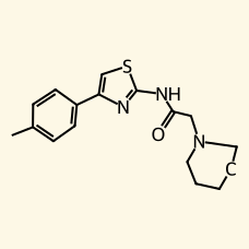 Cc1ccc(-c2csc(NC(=O)CN3CCCCC3)n2)cc1